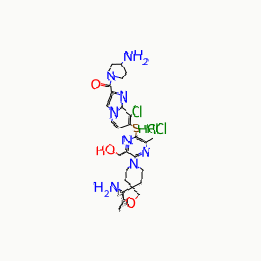 Cc1nc(N2CCC3(CC2)CO[C@@H](C)[C@H]3N)c(CO)nc1Sc1ccn2cc(C(=O)N3CCC(N)CC3)nc2c1Cl.Cl.Cl